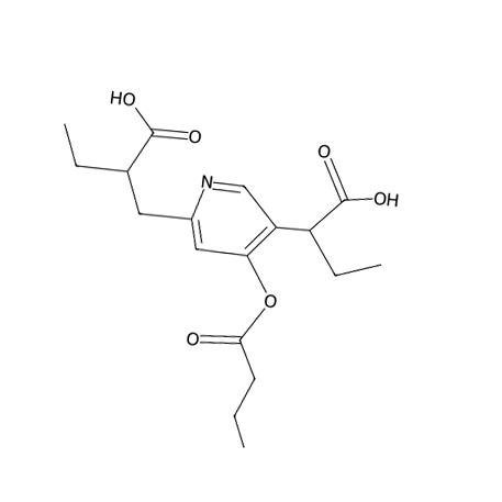 CCCC(=O)Oc1cc(CC(CC)C(=O)O)ncc1C(CC)C(=O)O